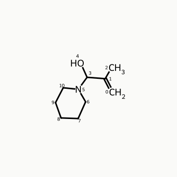 C=C(C)C(O)N1CCCCC1